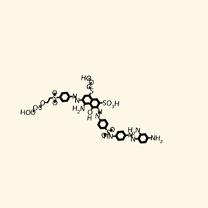 Nc1ccc(/N=N/c2ccc(NS(=O)(=O)c3ccc(/N=N/c4c(S(=O)(=O)O)cc5c(SOOO)cc(/N=N/c6ccc(S(=O)(=O)CCOSOOO)cc6)c(N)c5c4O)cc3)cc2)c(N)c1